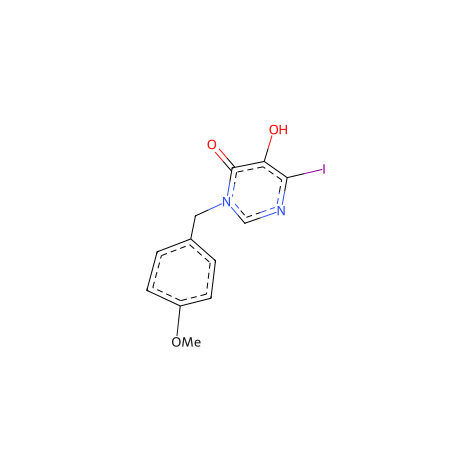 COc1ccc(Cn2cnc(I)c(O)c2=O)cc1